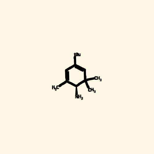 CC1=CC(C(C)(C)C)=CC(C)(C)[C@H]1N